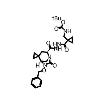 CC(C)(C)OC(=O)NCC1(C(=O)NNC(=O)[C@@H]2CC3(CC3)[C@H]3CN2C(=O)N3OCc2ccccc2)CC1